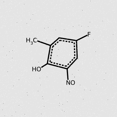 Cc1cc(F)cc(N=O)c1O